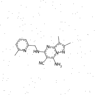 Cc1cccc(CNc2nc3c(C)c(C)nn3c(N)c2C#N)n1